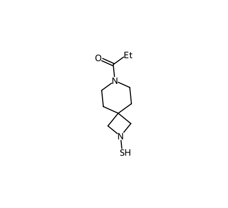 CCC(=O)N1CCC2(CC1)CN(S)C2